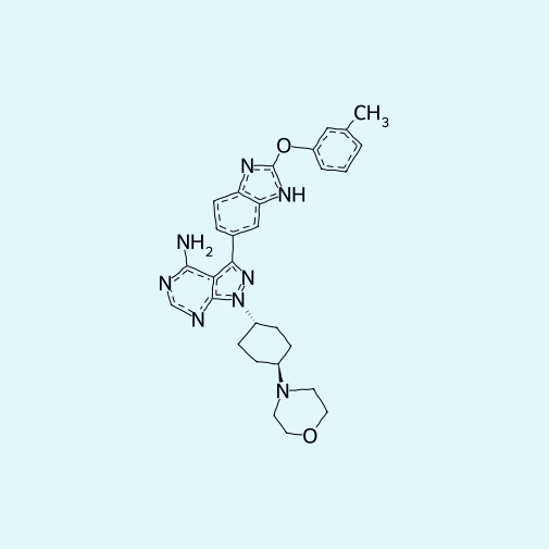 Cc1cccc(Oc2nc3ccc(-c4nn([C@H]5CC[C@H](N6CCOCC6)CC5)c5ncnc(N)c45)cc3[nH]2)c1